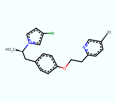 CCc1ccc(CCOc2ccc(C[C@@H](C(=O)O)n3ccc(Br)c3)cc2)nc1